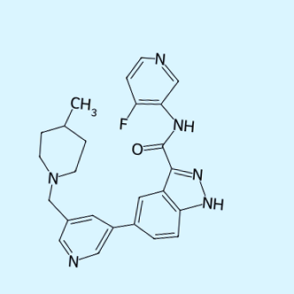 CC1CCN(Cc2cncc(-c3ccc4[nH]nc(C(=O)Nc5cnccc5F)c4c3)c2)CC1